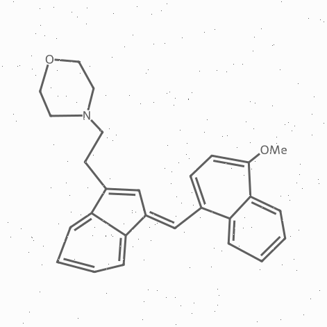 COc1ccc(/C=C2\C=C(CCN3CCOCC3)c3ccccc32)c2ccccc12